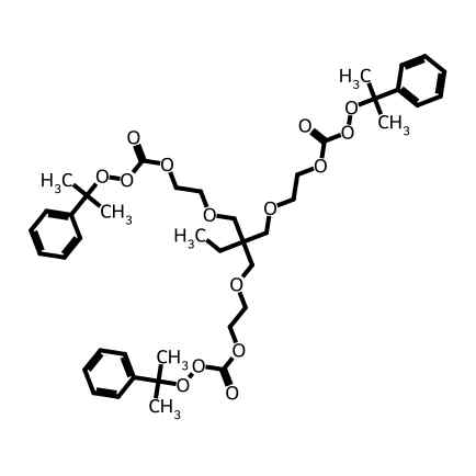 CCC(COCCOC(=O)OOC(C)(C)c1ccccc1)(COCCOC(=O)OOC(C)(C)c1ccccc1)COCCOC(=O)OOC(C)(C)c1ccccc1